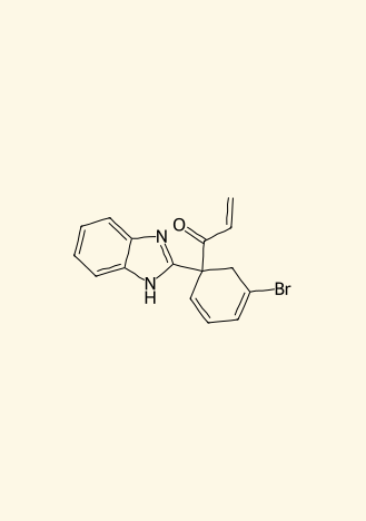 C=CC(=O)C1(c2nc3ccccc3[nH]2)C=CC=C(Br)C1